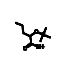 CCCC(O[Si](C)(C)C)C([NH])=O